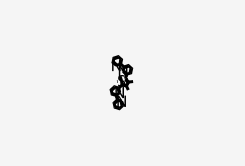 CC1=C(c2cccc(-c3ccccn3)n2)[Si](C)(C)C(c2cccc(-c3ccccn3)n2)=C1C